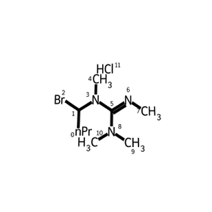 CCCC(Br)N(C)C(=NC)N(C)C.Cl